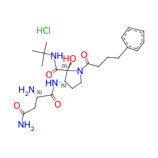 CC(C)(C)NC(=O)[C@@]1(O)[C@@H](NC(=O)[C@@H](N)CC(N)=O)CCN1C(=O)CCCc1ccccc1.Cl